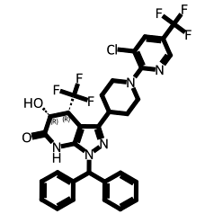 O=C1Nc2c(c(C3CCN(c4ncc(C(F)(F)F)cc4Cl)CC3)nn2C(c2ccccc2)c2ccccc2)[C@@H](C(F)(F)F)[C@H]1O